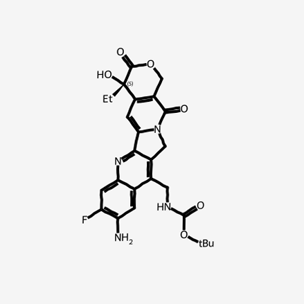 CC[C@@]1(O)C(=O)OCc2c1cc1n(c2=O)Cc2c-1nc1cc(F)c(N)cc1c2CNC(=O)OC(C)(C)C